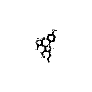 CCCc1nn(-c2ccc(O)cc2)c(C2C(C)=NOC2C)c1C=N